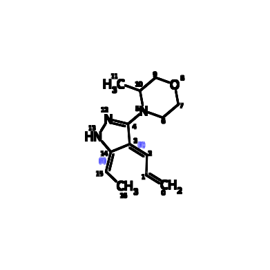 C=C/C=c1/c(N2CCOCC2C)n[nH]/c1=C/C